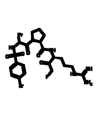 CC(C)C(NS(=O)(=O)c1ccc(Br)cc1)C(=O)N1CCC[C@H]1C(=O)N[C@@H](CCCNC(=N)N)C(=O)CF